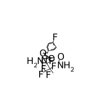 CC(F)(C(F)(F)F)C(F)(F)N(N)S(=O)(=O)c1ccc(F)cc1.NC=O